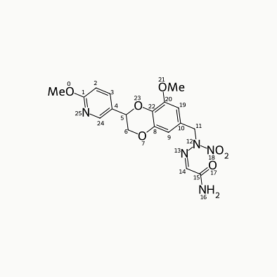 COc1ccc(C2COc3cc(CN(/N=C\C(N)=O)[N+](=O)[O-])cc(OC)c3O2)cn1